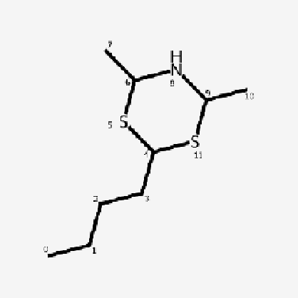 CCCCC1SC(C)NC(C)S1